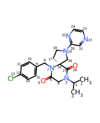 CC(C)N1CC(=O)N(Cc2ccc(Cl)cc2)[C@]2(CCN(c3cnccn3)C2)C1=O